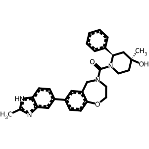 Cc1nc2cc(-c3ccc4c(c3)CN(C(=O)N3CC[C@](C)(O)C[C@@H]3c3ccccc3)CCO4)ccc2[nH]1